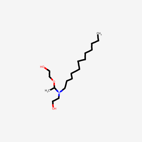 CCCCCCCCCCCCN(CCO)C(C)OCCO